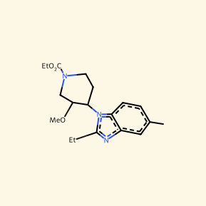 CCOC(=O)N1CCC(n2c(CC)nc3cc(C)ccc32)C(OC)C1